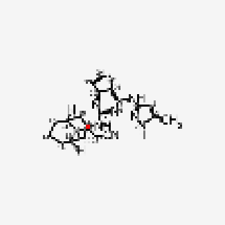 Cc1cc(Nc2nc(N[C@@H]3C[C@H]4CCC[C@@H](C3)N4CCC#N)nc3ccsc23)n[nH]1